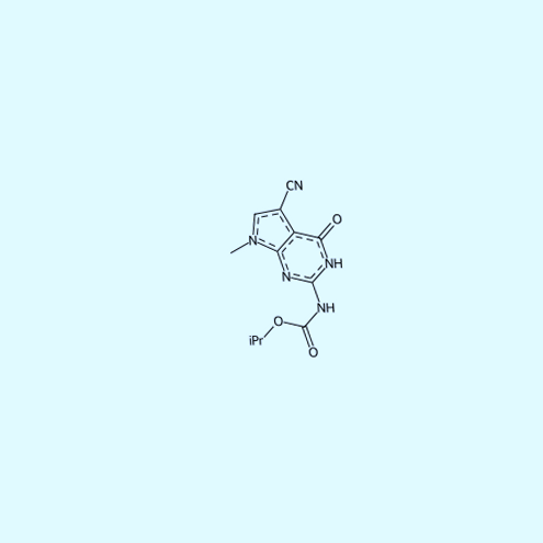 CC(C)OC(=O)Nc1nc2c(c(C#N)cn2C)c(=O)[nH]1